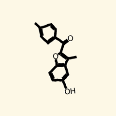 Cc1ccc(C(=O)c2oc3ccc(O)cc3c2C)cc1